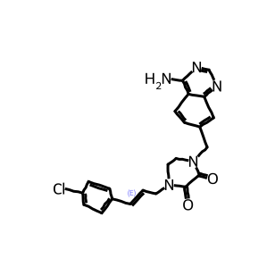 Nc1ncnc2cc(CN3CCN(C/C=C/c4ccc(Cl)cc4)C(=O)C3=O)ccc12